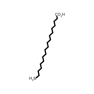 O=C(O)CCCCCCCCCCCCCCCCC[SiH3]